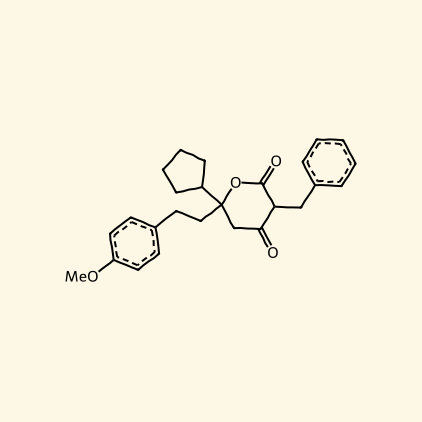 COc1ccc(CCC2(C3CCCC3)CC(=O)C(Cc3ccccc3)C(=O)O2)cc1